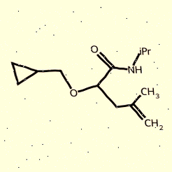 C=C(C)CC(OCC1CC1)C(=O)NC(C)C